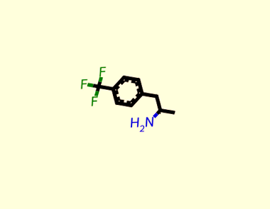 C[C](N)Cc1ccc(C(F)(F)F)cc1